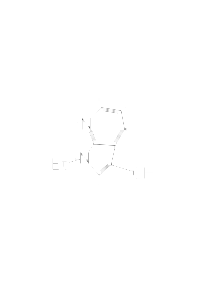 CCn1cc(C)c2c[c]cnc21